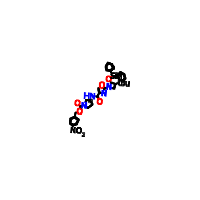 CC(C)(C)C1CN(c2nc(C(=O)N[C@H]3CCN(C(=O)OCc4ccc([N+](=O)[O-])cc4)C3)co2)C1O[SiH](c1ccccc1)c1ccccc1